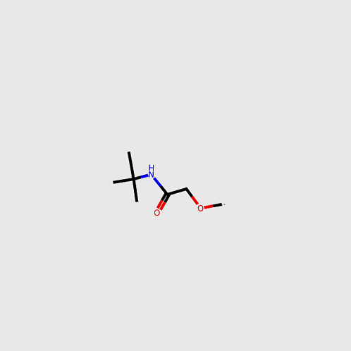 [CH2]OCC(=O)NC(C)(C)C